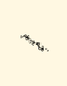 CS(=O)(=O)c1cccc(OCC(O)CNC(=O)OC2COC3(CCN(S(=O)(=O)c4cccc(Br)c4)CC3)C2)c1